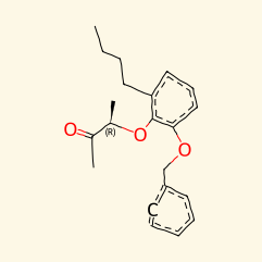 CCCCc1cccc(OCc2ccccc2)c1O[C@H](C)C(C)=O